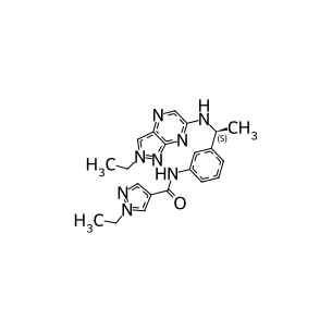 CCn1cc(C(=O)Nc2cccc([C@H](C)Nc3cnc4cn(CC)nc4n3)c2)cn1